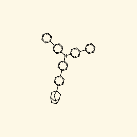 c1ccc(-c2ccc(N(c3ccc(-c4ccccc4)cc3)c3ccc(-c4ccc(C56CC7CC(C5)C(C7)C6)cc4)cc3)cc2)cc1